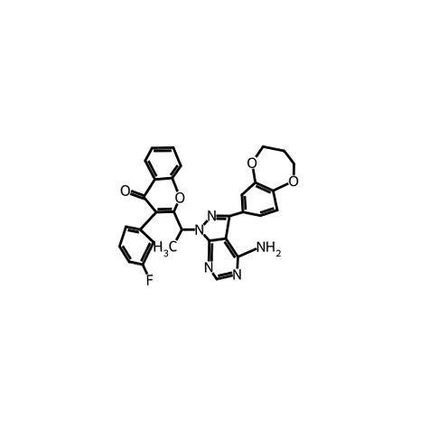 CC(c1oc2ccccc2c(=O)c1-c1cccc(F)c1)n1nc(-c2ccc3c(c2)OCCCO3)c2c(N)ncnc21